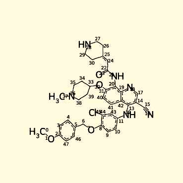 COc1ccc(COc2ccc(Nc3c(C#N)cnc4c(NC(=O)C=C5CCNCC5)c(OC5CCN(C)CC5)ccc34)cc2Cl)cc1